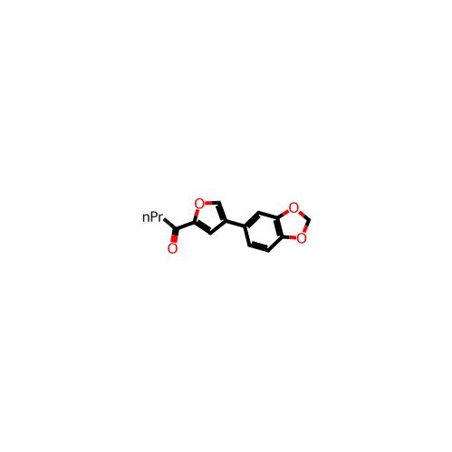 CCCC(=O)c1cc(-c2ccc3c(c2)OCO3)co1